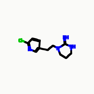 N=C1NCCCN1CCc1ccc(Cl)nc1